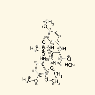 COc1ccc(Nc2nc(Nc3ccc(OC)c(OC)c3OC)ncc2Cl)c(NS(C)(=O)=O)c1.Cl